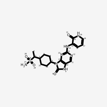 CC(C1CCC(n2c(=O)[nH]c3cnc(Nc4ccc[nH]c4=O)nc32)CC1)S(N)(=O)=O